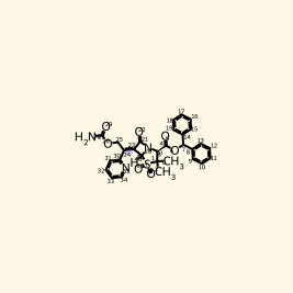 CC1(C)[C@H](C(=O)OC(c2ccccc2)c2ccccc2)N2C(=O)/C(=C(\COC(N)=O)c3ccccn3)[C@H]2S1(=O)=O